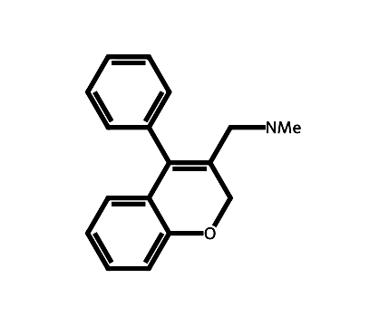 CNCC1=C(c2ccccc2)c2ccccc2OC1